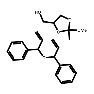 C=CC(OC(C=C)c1ccccc1)c1ccccc1.COC1(C)OCC(CO)O1